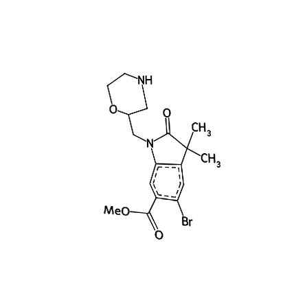 COC(=O)c1cc2c(cc1Br)C(C)(C)C(=O)N2CC1CNCCO1